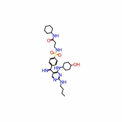 CCCCNc1ncc(C(=N)c2ccc(S(=O)(=O)NCCC(=O)NC3CCCCC3)cc2)c(NC2CCC(O)CC2)n1